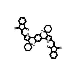 S=C1C(=Cc2cc3c(s2)-c2cc4c(cc2OC32CCCCC2)-c2sc(C=C3C(=S)c5ccccc5C3=S)cc2C2(CCCCC2)O4)C(=S)c2ccccc21